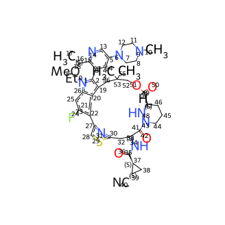 CCn1c(-c2cc(N3CCN(C)CC3)cnc2[C@H](C)OC)c2c3cc(c(F)cc31)-c1csc(n1)C[C@H](NC(=O)[C@H]1C[C@@H]1C#N)C(=O)N1CCC[C@H](N1)C(=O)OCC(C)(C)C2